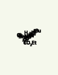 CCOC(=O)c1ccc([C@@H](CCN2CCOCC2)NC(=O)c2cc3cc4c(nc3s2)CC[C@H](C(C)(C)C)C4)cc1